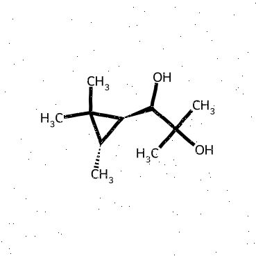 C[C@H]1[C@H](C(O)C(C)(C)O)C1(C)C